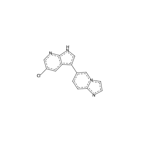 Clc1cnc2[nH]cc(-c3ccc4nccn4c3)c2c1